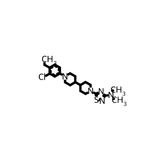 CCc1ccc(N2CCC(C3CCN(c4nc(N(C)C)ns4)CC3)CC2)cc1Cl